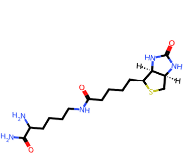 NC(=O)C(N)CCCCNC(=O)CCCC[C@@H]1SC[C@@H]2NC(=O)N[C@@H]21